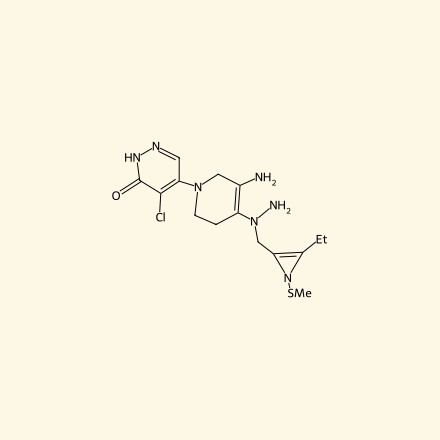 CCC1=C(CN(N)C2=C(N)CN(c3cn[nH]c(=O)c3Cl)CC2)N1SC